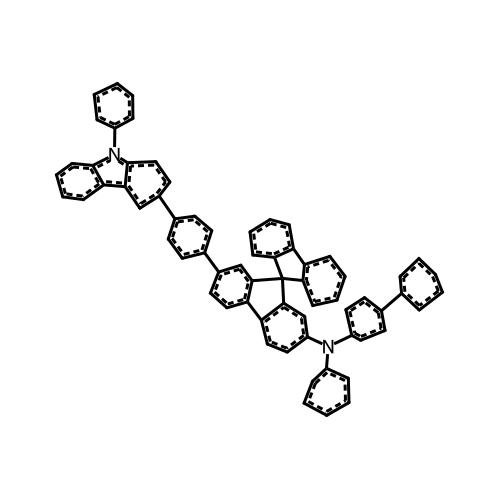 c1ccc(-c2ccc(N(c3ccccc3)c3ccc4c(c3)C3(c5ccccc5-c5ccccc53)c3cc(-c5ccc(-c6ccc7c(c6)c6ccccc6n7-c6ccccc6)cc5)ccc3-4)cc2)cc1